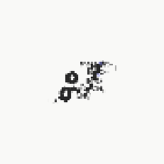 C=N/C(C(=O)N[C@@H](C)C(=O)O[C@@H](C)[C@@H](c1ccccc1)c1ccc(C)cc1)=C(O)\C(=C/C)OC